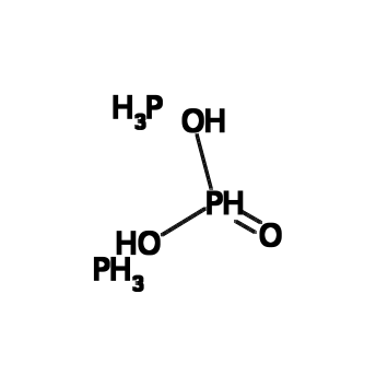 O=[PH](O)O.P.P